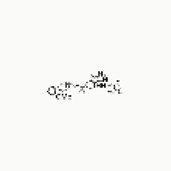 COc1ccccc1N1CCN(C/C=C/C(=O)N2CCc3c(sc4ncnc(Nc5ccc(Cl)c(Cl)c5)c34)C2)CC1